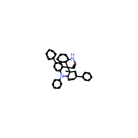 CC12C=C(c3ccccc3)C=CC1N(c1ccccc1)c1ccc(-c3ccccc3)cc1C21c2ccccc2Nc2ccccc21